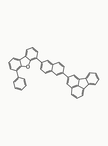 c1ccc(-c2cccc3c2oc2c(-c4ccc5cc(-c6cc7c8c(cccc8c6)-c6ccccc6-7)ccc5c4)cccc23)cc1